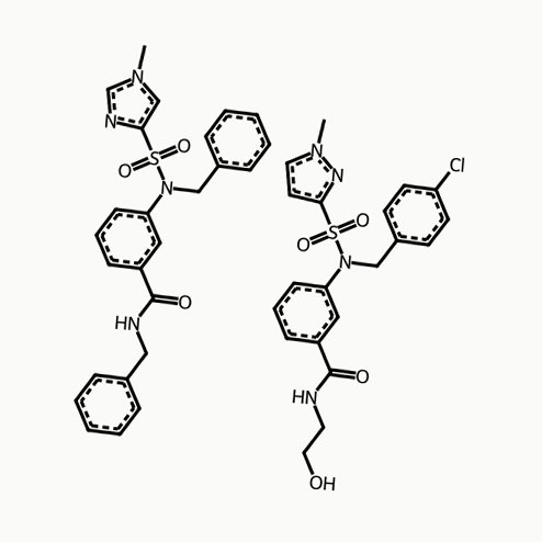 Cn1ccc(S(=O)(=O)N(Cc2ccc(Cl)cc2)c2cccc(C(=O)NCCO)c2)n1.Cn1cnc(S(=O)(=O)N(Cc2ccccc2)c2cccc(C(=O)NCc3ccccc3)c2)c1